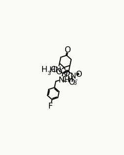 COC1(OC)C2CC(=O)CC1C([N+](=O)[O-])=C(NCc1ccc(F)cc1)N2